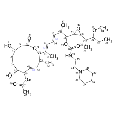 C=C1CCC(O)CC(=O)OC(/C(C)=C/C=C/C(C)C(OC(=O)NCCN2CCCCC2)C2OC2C(C)C(CC)OC)C(C)/C=C/C1OC(C)=O